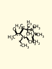 C=CN(CC)/C(C(C)=O)=C(/C)C(C)(C)N(C)N(C)C=C